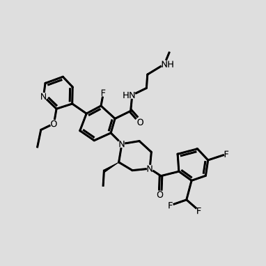 CCOc1ncccc1-c1ccc(N2CCN(C(=O)c3ccc(F)cc3C(F)F)C[C@H]2CC)c(C(=O)NCCNC)c1F